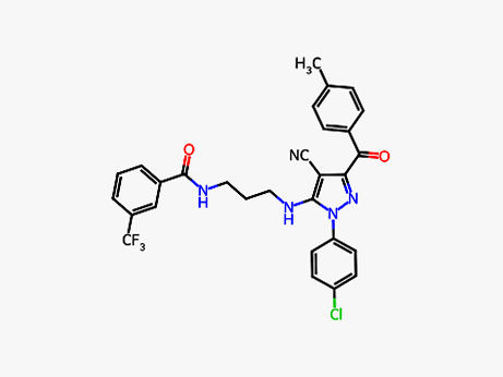 Cc1ccc(C(=O)c2nn(-c3ccc(Cl)cc3)c(NCCCNC(=O)c3cccc(C(F)(F)F)c3)c2C#N)cc1